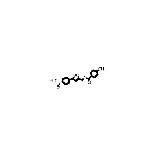 Cc1ccc(C(=O)NCc2cc(-c3ccc([S+](C)[O-])cc3)no2)cc1